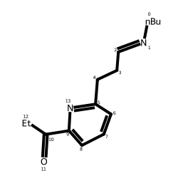 CCCCN=CCCc1cccc(C(=O)CC)n1